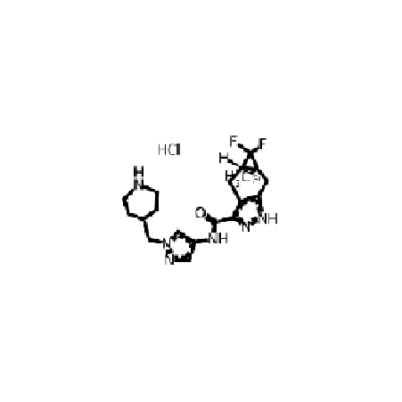 C[C@@]12Cc3[nH]nc(C(=O)Nc4cnn(CC5CCNCC5)c4)c3C[C@@H]1C2(F)F.Cl